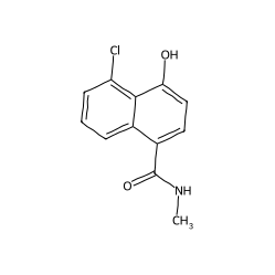 CNC(=O)c1ccc(O)c2c(Cl)cccc12